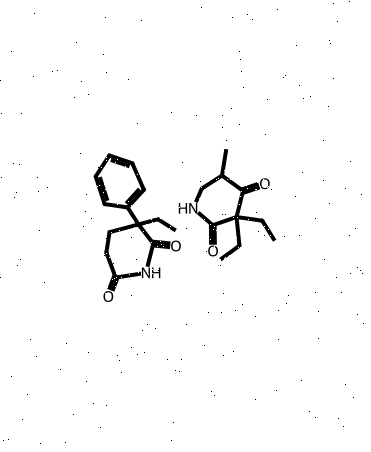 CCC1(CC)C(=O)NCC(C)C1=O.CCC1(c2ccccc2)CCC(=O)NC1=O